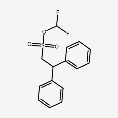 O=S(=O)(CC(c1ccccc1)c1ccccc1)OC(F)F